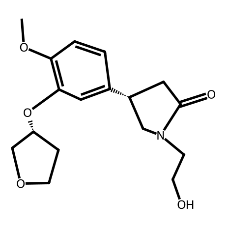 COc1ccc([C@@H]2CC(=O)N(CCO)C2)cc1O[C@@H]1CCOC1